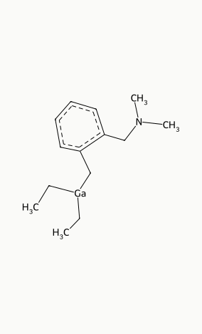 C[CH2][Ga]([CH2]C)[CH2]c1ccccc1CN(C)C